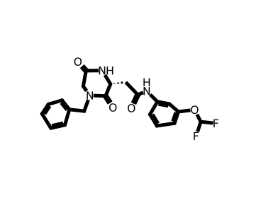 O=C(C[C@H]1NC(=O)CN(Cc2ccccc2)C1=O)Nc1cccc(OC(F)F)c1